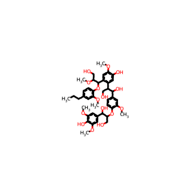 CCCc1ccc(OC(c2cc(OC)c(O)cc2C(CO)C(O)c2ccc(OC(CO)C(O)c3cc(OC)c(O)c(OC)c3)c(OC)c2)C(CO)OC)c(OC)c1